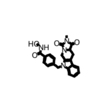 CN1C(=O)C2Cc3c(n(Cc4ccc(C(=O)NO)cc4)c4ccccc34)CN2C1=O